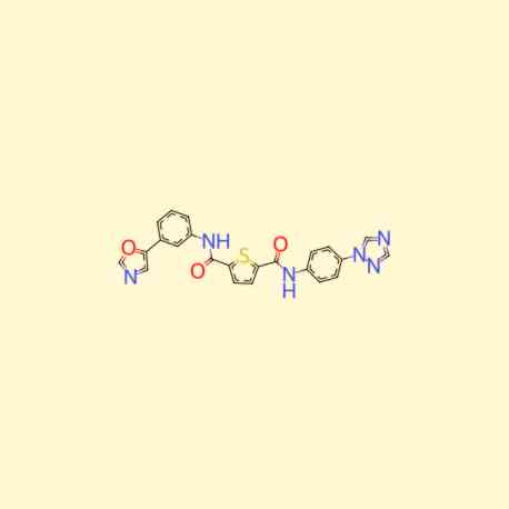 O=C(Nc1ccc(-n2cncn2)cc1)c1ccc(C(=O)Nc2cccc(-c3cnco3)c2)s1